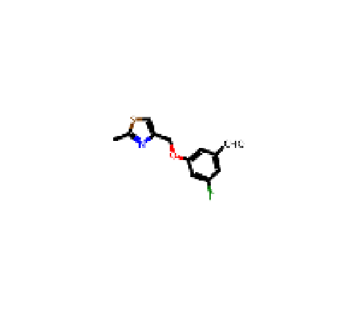 Cc1nc(COc2cc(F)cc(C=O)c2)cs1